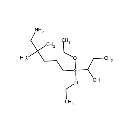 CCO[Si](CCCC(C)(C)CN)(OCC)C(O)CC